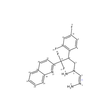 N/N=C\N(N)CC(c1ccc(F)cc1F)C(F)(F)c1ccc2ccccc2n1